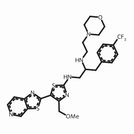 COCc1nc(NCC(Cc2ccc(C(F)(F)F)cc2)NCCN2CCOCC2)sc1-c1nc2ccncc2s1